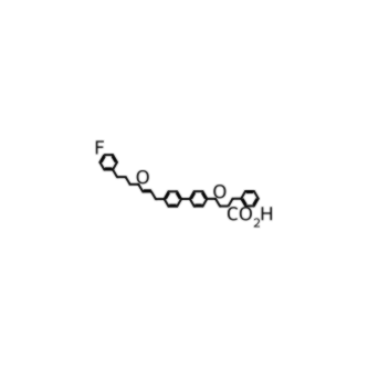 O=C(/C=C/Cc1ccc(-c2ccc(C(=O)CC(Cc3ccccc3)C(=O)O)cc2)cc1)CCCc1ccc(F)cc1